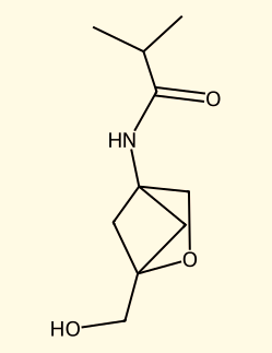 CC(C)C(=O)NC12COC(CO)(C1)C2